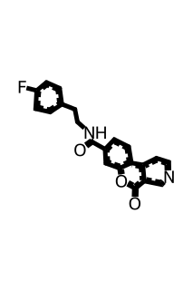 O=C(NCCc1ccc(F)cc1)c1ccc2c(c1)oc(=O)c1cnccc12